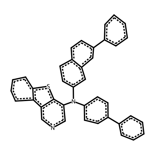 c1ccc(-c2ccc(N(c3ccc4ccc(-c5ccccc5)cc4c3)c3cncc4c3sc3ccccc34)cc2)cc1